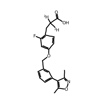 [2H]C([2H])(Cc1ccc(OCc2cccc(-c3c(C)noc3C)c2)cc1F)C(=O)O